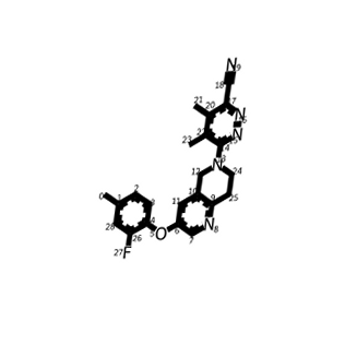 Cc1ccc(Oc2cnc3c(c2)CN(c2nnc(C#N)c(C)c2C)CC3)c(F)c1